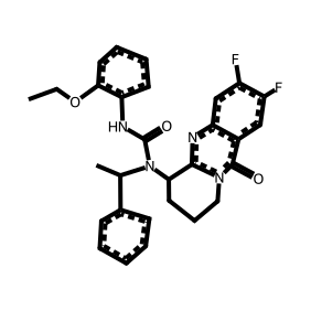 CCOc1ccccc1NC(=O)N(C(C)c1ccccc1)C1CCCn2c1nc1cc(F)c(F)cc1c2=O